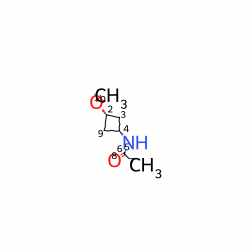 CO[C@H]1C[C@@H](NC(C)=O)C1